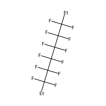 CCC(F)(F)C(F)(F)C(F)(F)C(F)(F)C(F)(F)C(F)(F)CC